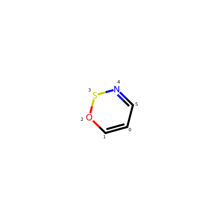 C1=COSN=C1